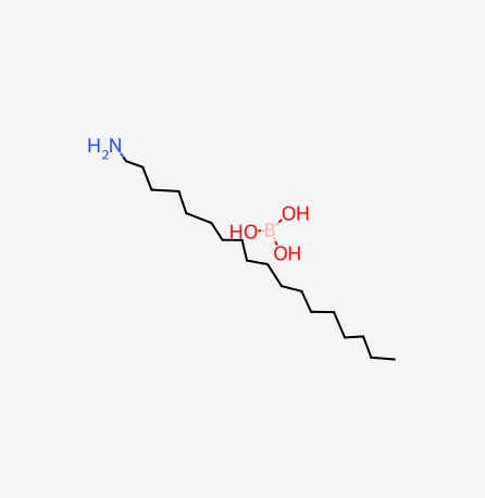 CCCCCCCCCCCCCCCCCCN.OB(O)O